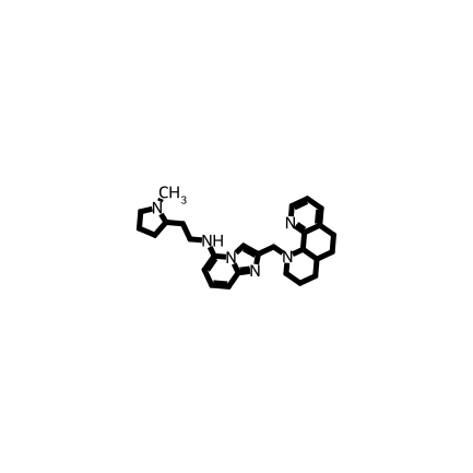 CN1CCCC1CCNc1cccc2nc(CN3CCCC4CCc5cccnc5C43)cn12